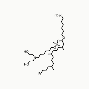 CCCCCCCCCCCCCCCCOC(CC(C)CCCC(C)CCCC(C)CCCC(C)C)O[Si](C)(C)OCCCCCCN(CCO)CCO